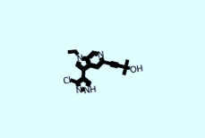 CCn1cc(-c2c[nH]nc2Cl)c2cc(C#CC(C)(C)O)ncc21